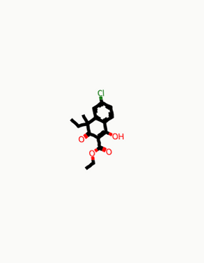 CCOC(=O)C1=C(O)c2ccc(Cl)cc2C(C)(CC)C1=O